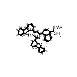 CSC(N)C1=C2C=CC=CC2C(C2=CC(C3C=CC=C4c5ccccc5SC43)NC(c3cccc4c3oc3ccccc34)=N2)C=C1